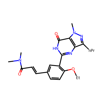 CCCc1nn(C)c2c(=O)[nH]c(-c3cc(C=CC(=O)N(C)C)ccc3OCC)nc12